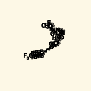 CC1(C(=O)OCCCCCCC(F)(F)C(F)(F)C(F)(F)C(F)(F)C(F)(F)C(F)(F)F)CC=C(CNC(=O)c2cc(C(=O)NCc3ccc(F)c(Cl)c3)nc3ccnn23)CC1